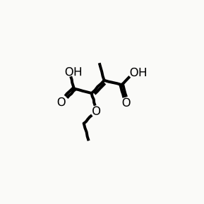 CCOC(C(=O)O)=C(C)C(=O)O